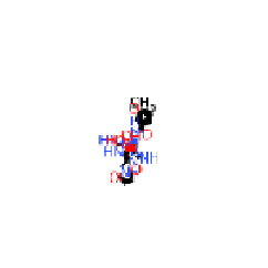 COc1cccc(C(=O)NC2CN3C(=N)N[C@@H](CN4C(=O)CCC4=O)C4NC(=N)NC43C2(O)O)c1